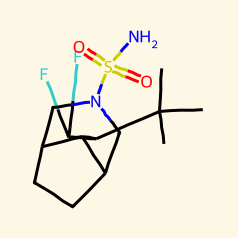 CC(C)(C)C1C(F)(F)C12C1CCC2CN(S(N)(=O)=O)C1